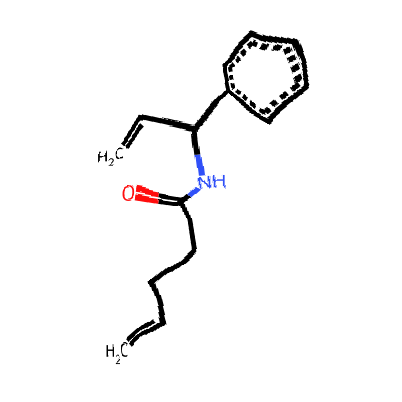 C=CCCC(=O)NC(C=C)c1ccccc1